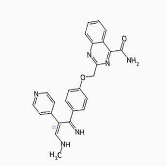 CN/C=C(\C(=N)c1ccc(OCc2nc(C(N)=O)c3ccccc3n2)cc1)c1ccncc1